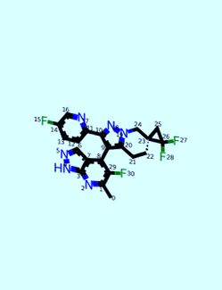 Cc1nc2[nH]ncc2c(-c2c(-c3ccc(F)cn3)nn3c2CC[C@]2(C3)CC2(F)F)c1F